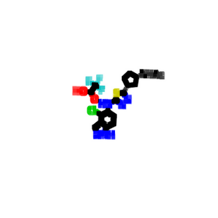 CC(=O)N[C@H]1CC[C@@H](c2nnc(Nc3ccc4[nH]ncc4c3Cl)s2)C1.O=C(O)C(F)(F)F